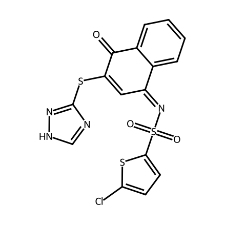 O=C1C(Sc2nc[nH]n2)=CC(=NS(=O)(=O)c2ccc(Cl)s2)c2ccccc21